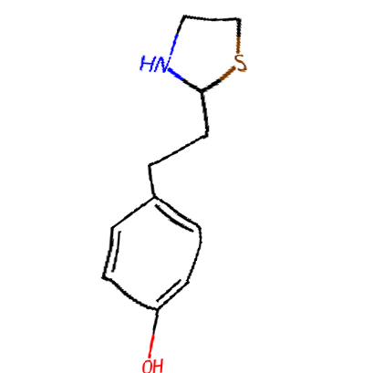 Oc1ccc(CCC2NCCS2)cc1